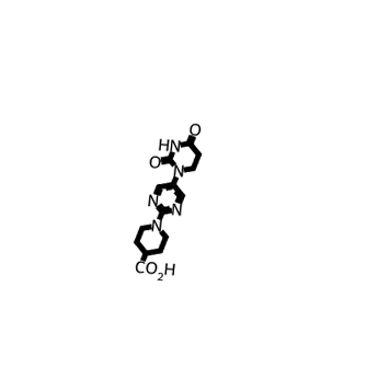 O=C1CCN(c2cnc(N3CCC(C(=O)O)CC3)nc2)C(=O)N1